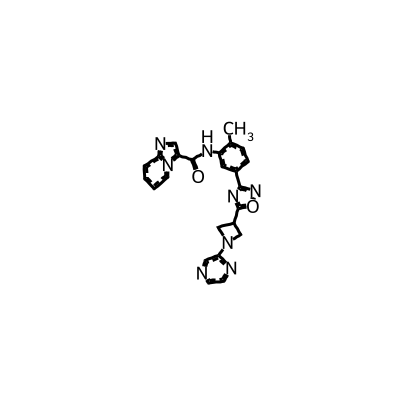 Cc1ccc(-c2noc(C3CN(c4cnccn4)C3)n2)cc1NC(=O)c1cnc2ccccn12